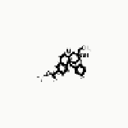 CC[C@@]1(O)CCC2(Cc3ccccc3)c3ccc(C(=O)OC)cc3C=C[C@H]2C1